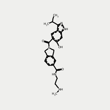 CNCCNC(=O)c1ccc2c(c1)CN(C(=O)c1cc3c(C(C)C)n[nH]c3cc1O)C2